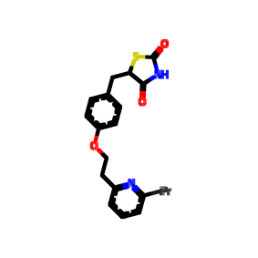 CC(C)c1cccc(CCOc2ccc(CC3SC(=O)NC3=O)cc2)n1